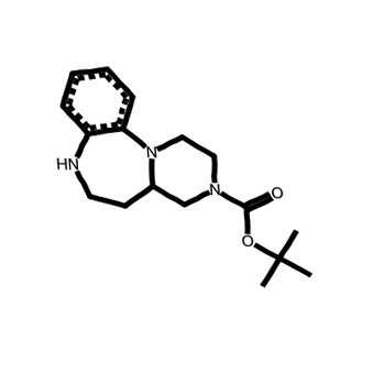 CC(C)(C)OC(=O)N1CCN2c3ccccc3NCCC2C1